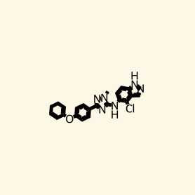 Cn1nc(-c2ccc(OC3=CCCC=C3)cc2)nc1Nc1ccc2[nH]ncc2c1Cl